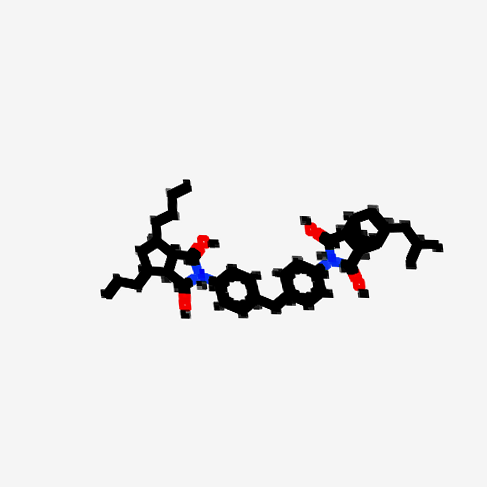 CCCCC1CC(CCC)C2C(=O)N(c3ccc(Cc4ccc(N5C(=O)C6C7C=C(CC(C)C)C(C7)C6C5=O)cc4)cc3)C(=O)C12